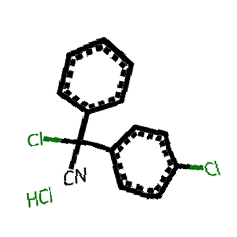 Cl.N#CC(Cl)(c1ccccc1)c1ccc(Cl)cc1